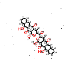 COC1=C2C(=O)c3c(cc4ccccc4c3O)C(=O)C2C(C)C(C(=O)[C@@H]2O[C@@H](OC)C3=C(C(=O)c4cc5ccccc5c(O)c4C3=O)C2C)O1